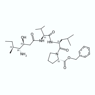 CC[C@H](C)[C@@H](N)[C@@H](O)CC(=O)N[C@H](C(=O)N[C@@H](CC(C)C)C(=O)N1CCC[C@H]1C(=O)OCc1ccccc1)C(C)C